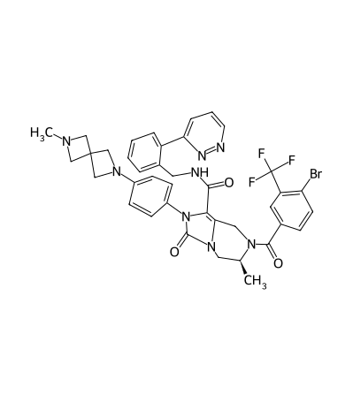 C[C@H]1Cn2c(c(C(=O)NCc3ccccc3-c3cccnn3)n(-c3ccc(N4CC5(CN(C)C5)C4)cc3)c2=O)CN1C(=O)c1ccc(Br)c(C(F)(F)F)c1